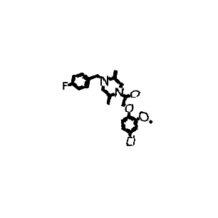 COc1cc(Cl)ccc1OCC(=O)N1CC(C)N(Cc2ccc(F)cc2)CC1C